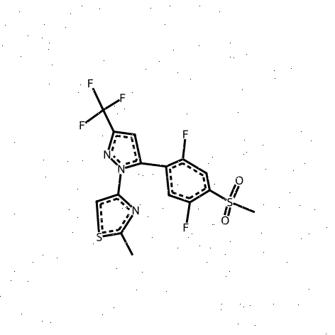 Cc1nc(-n2nc(C(F)(F)F)cc2-c2cc(F)c(S(C)(=O)=O)cc2F)cs1